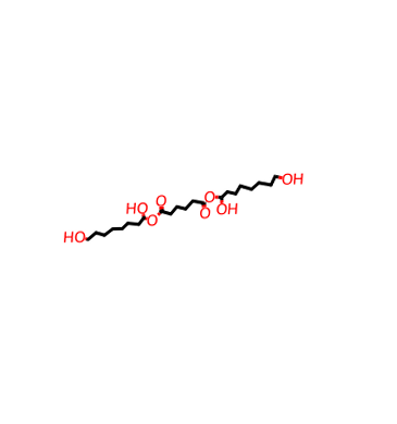 O=C(CCCCC(=O)OC(O)CCCCCCCO)OC(O)CCCCCCCO